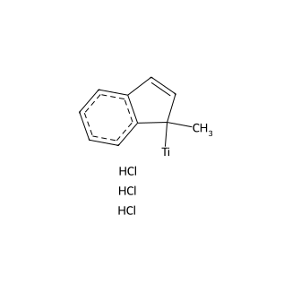 C[C]1([Ti])C=Cc2ccccc21.Cl.Cl.Cl